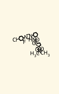 CN(C)S(=O)(=O)c1ccc(S(=O)(=O)Nc2ccccc2N2CCN(c3ccc(Cl)cc3F)CC2)s1